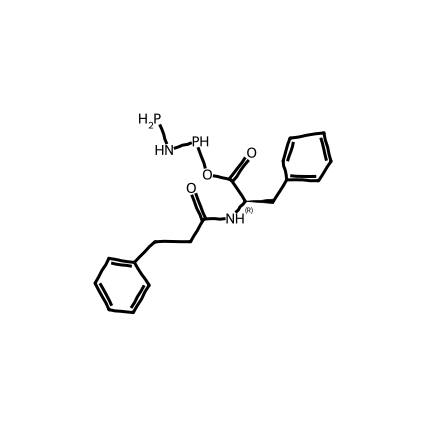 O=C(CCc1ccccc1)N[C@H](Cc1ccccc1)C(=O)OPNP